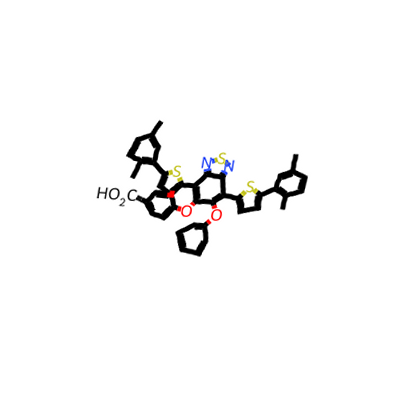 Cc1ccc(C)c(-c2ccc(-c3c(Oc4ccccc4)c(Oc4ccc(C(=O)O)cc4)c(-c4ccc(-c5cc(C)ccc5C)s4)c4nsnc34)s2)c1